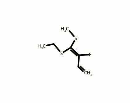 C=C/C(F)=C(/SC)SCC